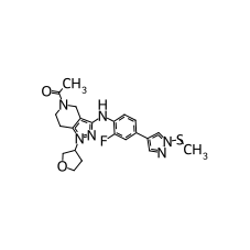 CSn1cc(-c2ccc(Nc3nn(C4CCOC4)c4c3CN(C(C)=O)CC4)c(F)c2)cn1